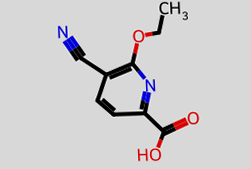 CCOc1nc(C(=O)O)ccc1C#N